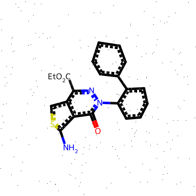 CCOC(=O)c1nn(-c2ccccc2-c2ccccc2)c(=O)c2c(N)scc12